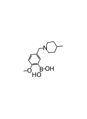 COc1ccc(CN2CCC(C)CC2)cc1B(O)O